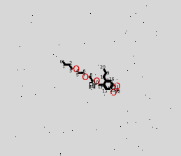 CCCCOCCOCCOCc1cc2c(cc1CCC)OCO2.[Pr]